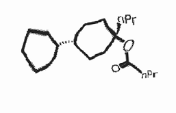 CCCC(=O)O[C@]1(CCC)CC[C@H](C2CCCCC2)CC1